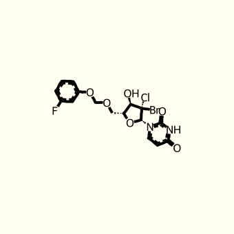 O=c1ccn([C@@H]2O[C@H](COCOc3cccc(F)c3)[C@@H](O)[C@@]2(Cl)Br)c(=O)[nH]1